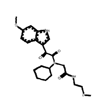 COCCNC(=O)CN(C(=O)C(=O)c1c[nH]c2cc(OC)ccc12)C1CCCCC1